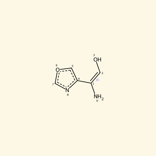 N/C(=C/O)c1cocn1